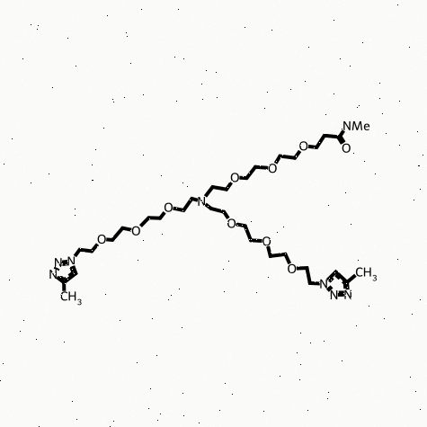 CNC(=O)CCOCCOCCOCCN(CCOCCOCCOCCn1cc(C)nn1)CCOCCOCCOCCn1cc(C)nn1